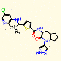 Cc1ncc(Cl)cc1N[C@@H](C)c1ccc(C(=O)N[C@@H](CC2CCCC2)C(=O)Nc2cn[nH]c2)s1